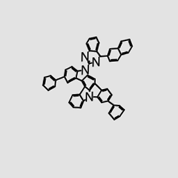 c1ccc(-c2ccc3c(c2)c2c4c5ccccc5n5c6cc(-c7ccccc7)ccc6c(cc2n3-c2nc(-c3ccc6ccccc6c3)c3ccccc3n2)c45)cc1